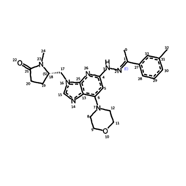 C/C(=N\Nc1cc(N2CCOCC2)c2ncn(C[C@@H]3CCC(=O)N3C)c2n1)c1cccc(C)c1